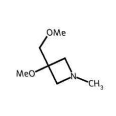 COCC1(OC)CN(C)C1